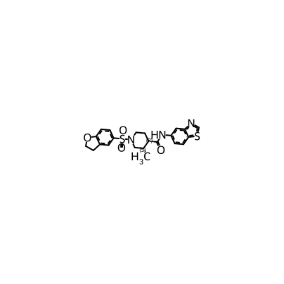 C[C@@H]1CN(S(=O)(=O)c2ccc3c(c2)CCO3)CC[C@H]1C(=O)Nc1ccc2scnc2c1